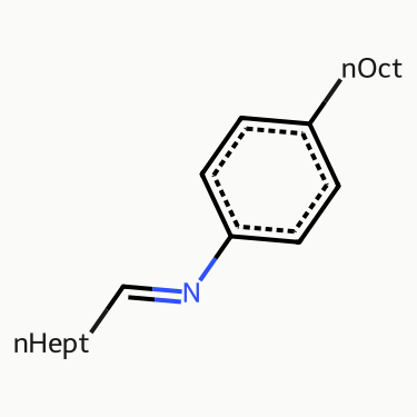 CCCCCCCC=Nc1ccc(CCCCCCCC)cc1